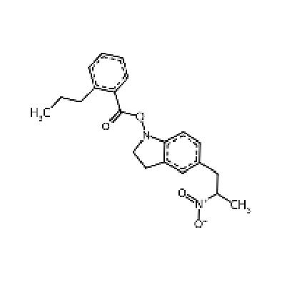 CCCc1ccccc1C(=O)ON1CCc2cc(CC(C)[N+](=O)[O-])ccc21